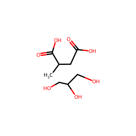 CC(CC(=O)O)C(=O)O.OCC(O)CO